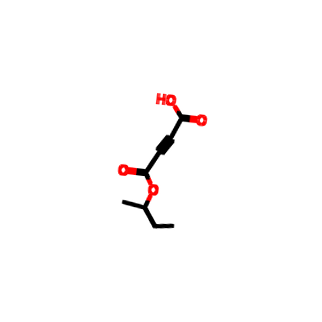 CCC(C)OC(=O)C#CC(=O)O